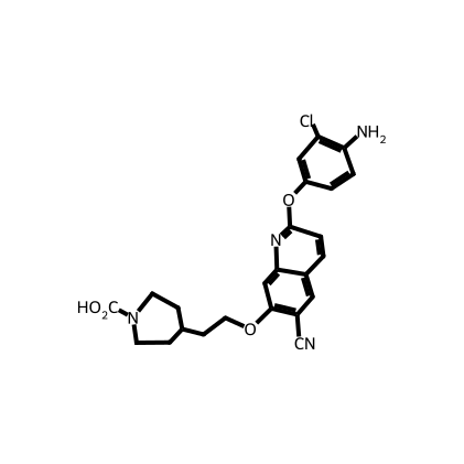 N#Cc1cc2ccc(Oc3ccc(N)c(Cl)c3)nc2cc1OCCC1CCN(C(=O)O)CC1